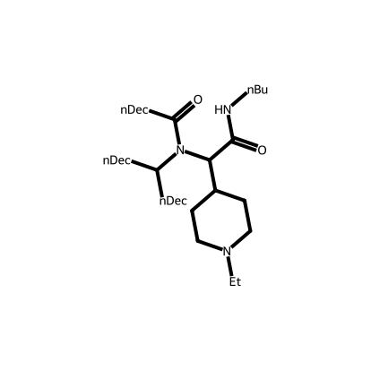 CCCCCCCCCCC(=O)N(C(CCCCCCCCCC)CCCCCCCCCC)C(C(=O)NCCCC)C1CCN(CC)CC1